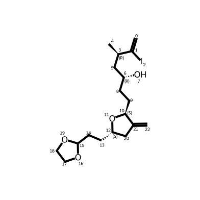 C=C(I)[C@H](C)C[C@H](O)CC[C@@H]1O[C@@H](CCC2OCCO2)CC1=C